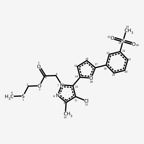 CSCOC(=O)Cn1nc(C)c(Cl)c1-c1ccc(-c2cccc(S(C)(=O)=O)c2)o1